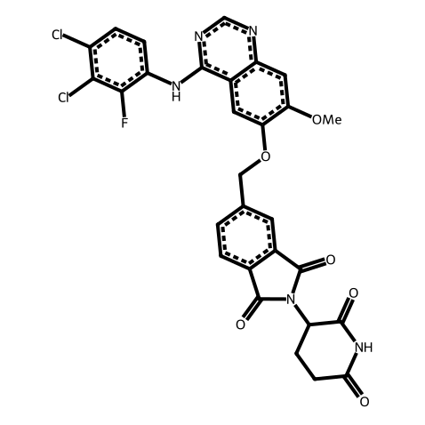 COc1cc2ncnc(Nc3ccc(Cl)c(Cl)c3F)c2cc1OCc1ccc2c(c1)C(=O)N(C1CCC(=O)NC1=O)C2=O